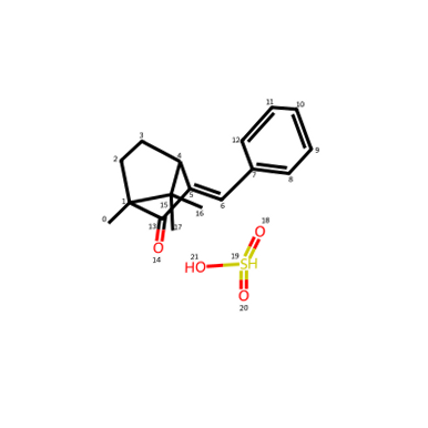 CC12CCC(C(=Cc3ccccc3)C1=O)C2(C)C.O=[SH](=O)O